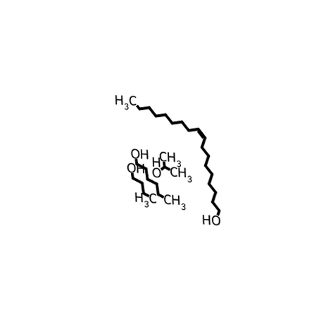 CC(C)O.CCCCCCCC/C=C\CCCCCCCCO.CCCCCCO.CCCCO